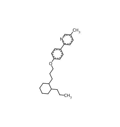 CCCC1CCCCC1CCCOc1ccc(-c2ccc(C)cn2)cc1